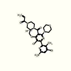 C=CC(=O)N1CCN2C(=O)c3c(N4CCOCC4)nc(-c4nc(N)cc(CC)c4C)c(Cl)c3OC[C@H]2C1